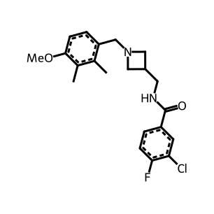 COc1ccc(CN2CC(CNC(=O)c3ccc(F)c(Cl)c3)C2)c(C)c1C